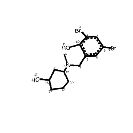 CN(Cc1cc(Br)cc(Br)c1O)C1CCCC(O)C1